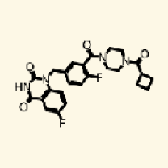 O=C(c1cc(Cn2c(=O)[nH]c(=O)c3cc(F)ccc32)ccc1F)N1CCN(C(=O)C2CCC2)CC1